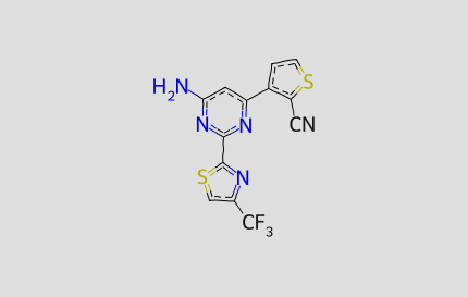 N#Cc1sccc1-c1cc(N)nc(-c2nc(C(F)(F)F)cs2)n1